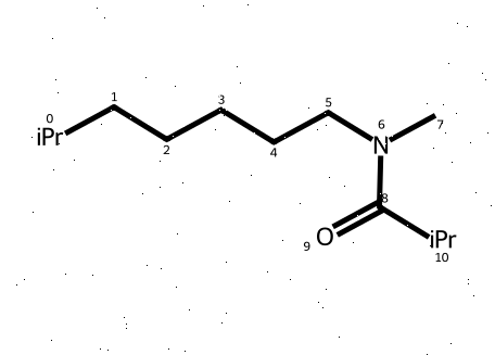 CC(C)CCCCCN(C)C(=O)C(C)C